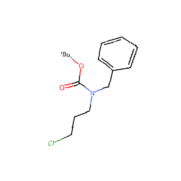 CC(C)(C)OC(=O)N(CCCCl)Cc1ccccc1